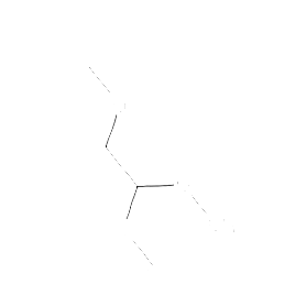 COCC(OC)OO